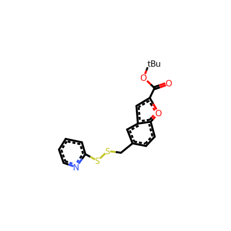 CC(C)(C)OC(=O)c1cc2cc(CSSc3ccccn3)ccc2o1